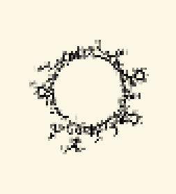 CCCC[C@H]1C(=O)N(C)[C@@H](CCCC)C(=O)N[C@@H](CCCNC(=N)N)C(=O)N[C@H](C(=O)NCC(N)=O)CSCC(=O)N[C@@H](Cc2ccc(O)cc2)C(=O)N(C)[C@@H](C)C(=O)N[C@@H](CCCN)C(=O)N2CCC[C@H]2C(=O)N[C@@H](C)C(=O)N[C@@H](CC(C)C)C(=O)N2C[C@H](O)C[C@H]2C(=O)N[C@@H](Cc2c[nH]c3ccccc23)C(=O)N[C@@H](CO)C(=O)N[C@@H](Cc2c[nH]c3ccccc23)C(=O)N1C